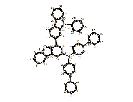 c1ccc(-c2ccc(N(c3ccc(-c4ccccc4)cc3)c3cc(-c4ccc5c6ccccc6n(-c6ccccc6)c5c4)c4oc5ccccc5c4c3)cc2)cc1